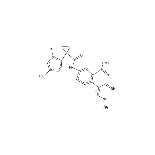 CCCN/C=C(\C=N)c1ccc(NC(=O)C2(c3ccc(C(F)(F)F)cc3F)CC2)cc1C(=O)OC